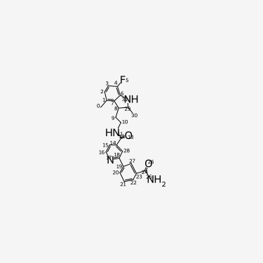 Cc1ccc(F)c2c1C(CCNC(=O)c1ccnc(-c3cccc(C(N)=O)c3)c1)C(C)N2